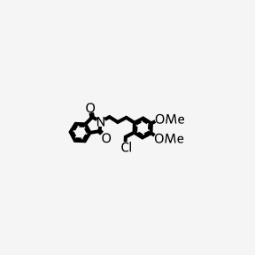 COc1cc(CCl)c(CCCN2C(=O)c3ccccc3C2=O)cc1OC